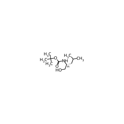 CC(C)C[C@H](CO)NC(=O)OC(C)(C)C